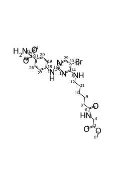 COC(=O)CNC(=O)CCCCCNc1nc(Nc2ccc(S(N)(=O)=O)cc2)ncc1Br